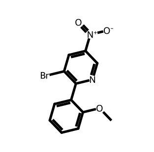 COc1ccccc1-c1ncc([N+](=O)[O-])cc1Br